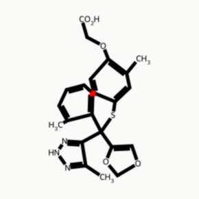 Cc1cc(SC(C2=COCO2)(c2ccccc2C)c2n[nH]nc2C)ccc1OCC(=O)O